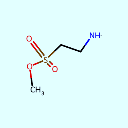 COS(=O)(=O)CC[NH]